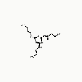 OCCCNc1nc(CNCCO)nc(NCCO)n1